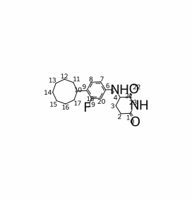 O=C1CCC(Nc2ccc(C3CCCCCCC3)c(F)c2)C(=O)N1